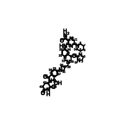 CN1CCN([C@H]2CCCN(c3cnc(C(N)=O)c(Nc4ccc5c(c4)CCN(CC4CN(c6ccc7c(c6)C(O)N(C6CCC(=O)NC6=O)C7=O)C4)C5)n3)C2)C1=O